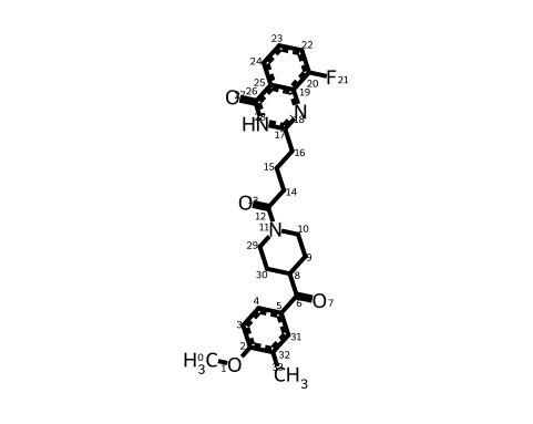 COc1ccc(C(=O)C2CCN(C(=O)CCCc3nc4c(F)cccc4c(=O)[nH]3)CC2)cc1C